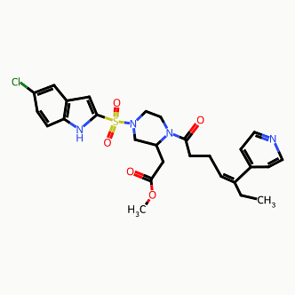 CC/C(=C/CCC(=O)N1CCN(S(=O)(=O)c2cc3cc(Cl)ccc3[nH]2)CC1CC(=O)OC)c1ccncc1